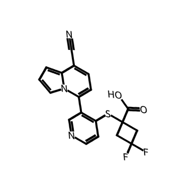 N#Cc1ccc(-c2cnccc2SC2(C(=O)O)CC(F)(F)C2)n2cccc12